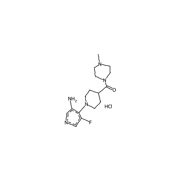 CN1CCN(C(=O)C2CCN(c3c(N)cncc3F)CC2)CC1.Cl